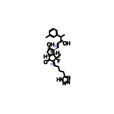 Cc1cccc(C(C)[C@H](O)/C=C/[C@@H]2[C@@H]3[C@H](C[C@H]2O)C(=O)/C(=C/CCCc2nnn[nH]2)C3(F)F)c1